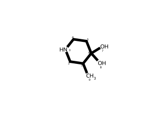 CC1CNCCC1(O)O